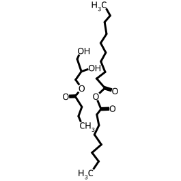 CCCC(=O)OCC(O)CO.CCCCCCCCCC(=O)OC(=O)CCCCCCC